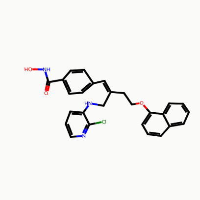 O=C(NO)c1ccc(C=C(CCOc2cccc3ccccc23)CNc2cccnc2Cl)cc1